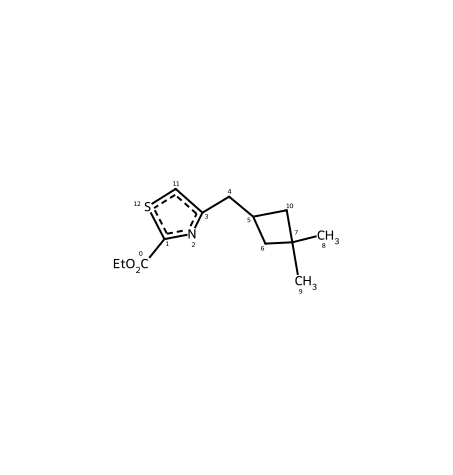 CCOC(=O)c1nc(CC2CC(C)(C)C2)cs1